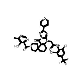 Cc1ncnc(C(=O)N2CCC3(CCCc4c3c(=O)n3nc(C5=CCOCC5)nc3n4CC(=O)Nc3c(Cl)cc(C(F)(F)F)cc3Cl)CC2)c1O